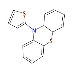 C1=CC2Sc3ccccc3N(c3cccs3)C2C=C1